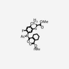 CCCCOC(=O)C1=C(C(=O)N(C(C)=O)c2cc(SC(C)C(=O)OC)c(Cl)cc2F)CCCC1